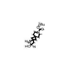 [2H]C([2H])(O)CC1(N)CC2(CCN(C(=O)OCCCC)CC2)C1